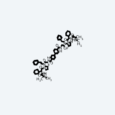 CN[C@@H](C)C(=O)N[C@H](C(=O)N1CC[C@H](F)C1N(CCc1ccccc1)C(=O)CNC(=O)c1ccc(-c2ccc(C(=O)NCC(=O)N(CCc3ccccc3)C3[C@@H](F)CCN3C(=O)[C@@H](NC(=O)[C@H](C)NC)C3CCCCC3)cc2)cc1)C1CCCCC1